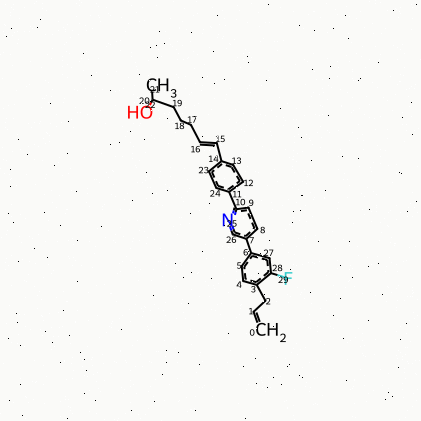 C=CCc1ccc(-c2ccc(-c3ccc(/C=C/CCCC(C)O)cc3)nc2)cc1F